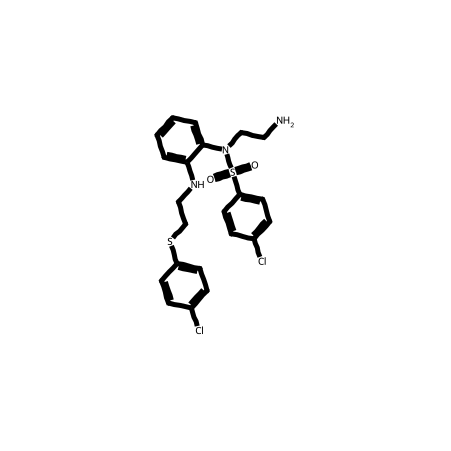 NCCN(c1ccccc1NCCSc1ccc(Cl)cc1)S(=O)(=O)c1ccc(Cl)cc1